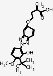 C=C(CCOc1ccc2nn(-c3ccc(OC)c(C(C)(C)C)c3O)nc2c1)C(=O)O